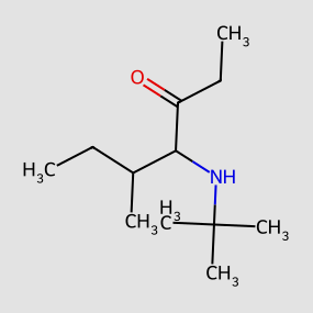 CCC(=O)C(NC(C)(C)C)C(C)CC